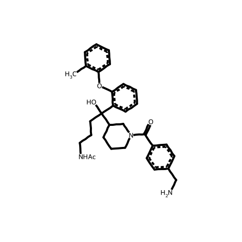 CC(=O)NCCCC(O)(c1ccccc1Oc1ccccc1C)C1CCCN(C(=O)c2ccc(CN)cc2)C1